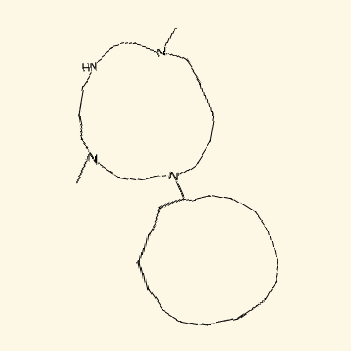 CN1CCCCCN(C2CCCCCCCCCCCCCCC2)CCN(C)CCCNCC1